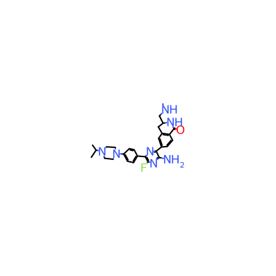 CNCC1Cc2cc(-c3nc(-c4ccc(N5CCN(C(C)C)CC5)cc4)c(F)nc3N)ccc2C(=O)N1